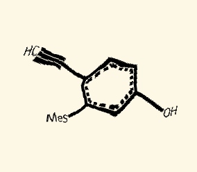 C#Cc1ccc(O)cc1SC